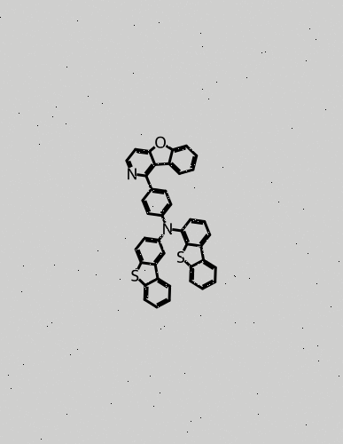 c1ccc2c(c1)oc1ccnc(-c3ccc(N(c4ccc5sc6ccccc6c5c4)c4cccc5c4sc4ccccc45)cc3)c12